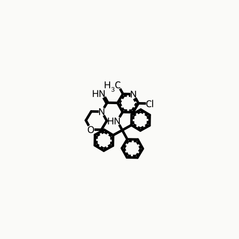 Cc1nc(Cl)cc(NC(c2ccccc2)(c2ccccc2)c2ccccc2)c1C(=N)N1CCOCC1